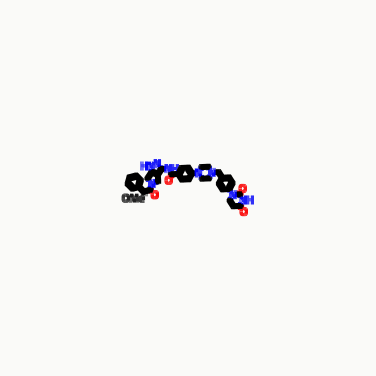 CO[C@@H](C(=O)N1Cc2[nH]nc(NC(=O)c3ccc(N4CCN(Cc5ccc(N6CCC(=O)NC6=O)cc5)CC4)cc3)c2C1)c1ccccc1